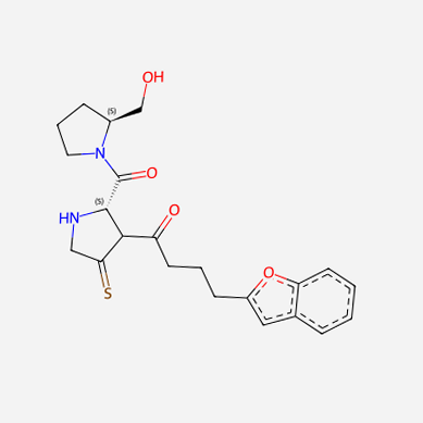 O=C(CCCc1cc2ccccc2o1)C1C(=S)CN[C@@H]1C(=O)N1CCC[C@H]1CO